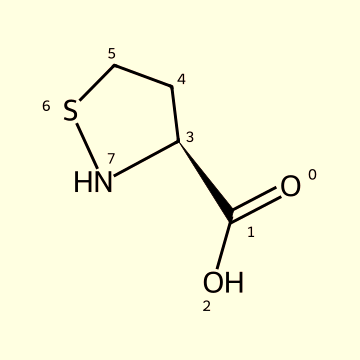 O=C(O)[C@@H]1CCSN1